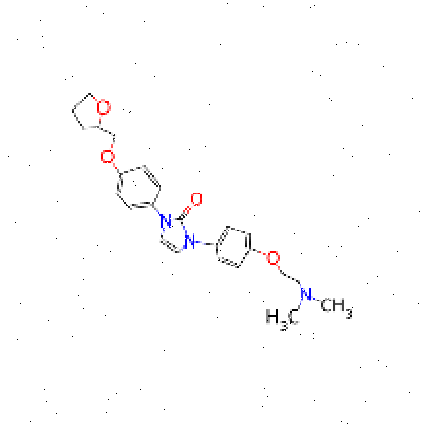 CN(C)CCOc1ccc(-n2ccn(-c3ccc(OCC4CCCO4)cc3)c2=O)cc1